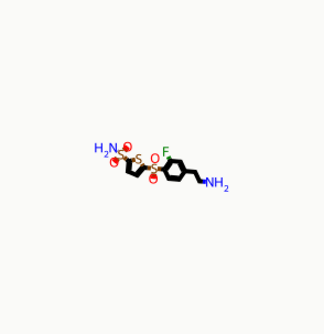 NCCc1ccc(S(=O)(=O)c2ccc(S(N)(=O)=O)s2)c(F)c1